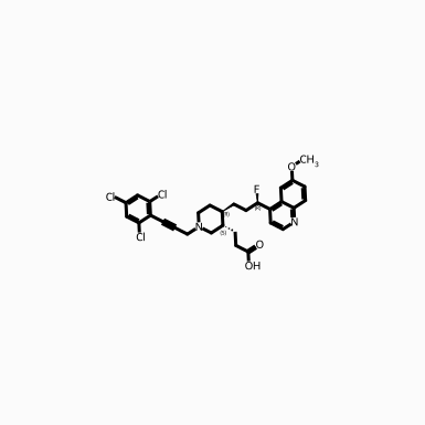 COc1ccc2nccc([C@H](F)CC[C@@H]3CCN(CC#Cc4c(Cl)cc(Cl)cc4Cl)C[C@H]3CCC(=O)O)c2c1